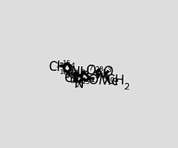 C=CC(=O)N1CC(Oc2cc3c(Nc4ccc(Cl)cc4Cl)ncnc3cc2OC)C1